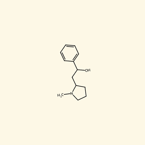 CN1CCCC1CC(O)c1ccccc1